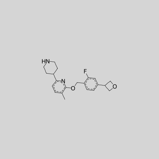 Cc1ccc(C2CCNCC2)nc1OCc1ccc(C2COC2)cc1F